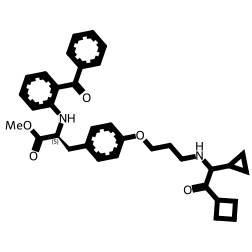 COC(=O)[C@H](Cc1ccc(OCCCNC(C(=O)C2CCC2)C2CC2)cc1)Nc1ccccc1C(=O)c1ccccc1